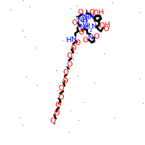 COCCOCCOCCOCCOCCOCCOCCOCCOCCOCC(=O)NCCCC[C@H](NC(=O)CCCN1C(=O)C=CC1=O)C(=O)N[C@@H](C)C(=O)N[C@@H](C)C(=O)Nc1cc(C[C@H](N)CCC(=O)O)ccc1O